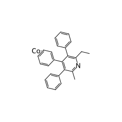 CCc1nc(C)c(-c2ccccc2)c(-c2ccccc2)c1-c1ccccc1.[Co]